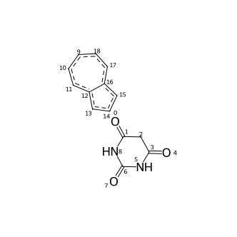 O=C1CC(=O)NC(=O)N1.c1ccc2cccc-2cc1